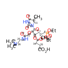 CCOP(=O)(C[C@H](C)[C@H]1O[C@@H](n2cc(C)c(=O)[nH]c2=O)[C@H](OCC(=O)NCCN(C)C)[C@@H]1OC(=O)CCC(=O)O)OCC